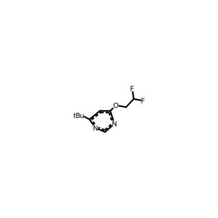 CC(C)(C)c1cc(OCC(F)F)ncn1